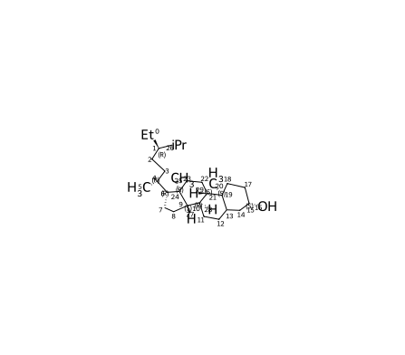 CC[C@H](CC[C@@H](C)[C@H]1CC[C@H]2[C@@H]3CCC4C[C@@H](O)CC[C@]4(C)[C@H]3CC[C@]12C)C(C)C